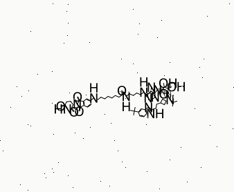 CC(C)N(C[C@H]1O[C@@H](n2cnc3c(NCCCCNC(=O)CCCCCCCNc4ccc5c(c4)C(=O)N(C4CCC(=O)NC4=O)C5=O)ncnc32)C(O)C1O)C1CC(CCc2nc3cc(C(C)(C)C)ccc3[nH]2)C1